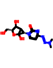 CN(C)/N=N/c1ccn([C@H]2C3C(O)[C@@H](CO)OC32O)c(=O)n1